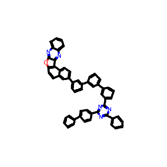 c1ccc(-c2ccc(-c3nc(-c4ccccc4)nc(-c4cccc(-c5cccc(-c6cccc(-c7ccc8c(ccc9oc%10nc%11ccccc%11nc%10c98)c7)c6)c5)c4)n3)cc2)cc1